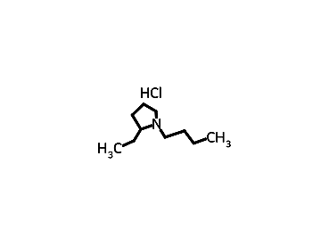 CCCCN1CCCC1CC.Cl